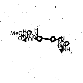 COC(=O)NC1(C(=O)N2CCC[C@H]2c2nc3ccc(C#Cc4ccc(-c5cnc([C@@H]6CCCN6C(=O)C6(N)CC6)[nH]5)cc4)cc3[nH]2)CC1